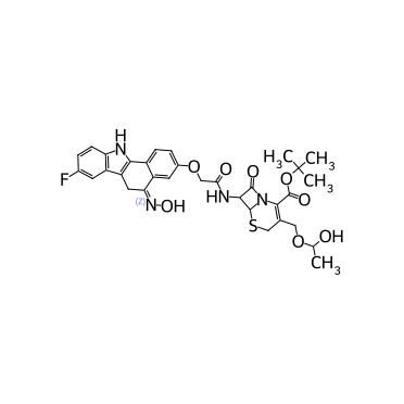 CC(O)OCC1=C(C(=O)OC(C)(C)C)N2C(=O)C(NC(=O)COc3ccc4c(c3)/C(=N\O)Cc3c-4[nH]c4ccc(F)cc34)C2SC1